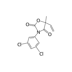 C=CC1(C)OC(=O)N(c2cc(Cl)cc(Cl)c2)C1=O